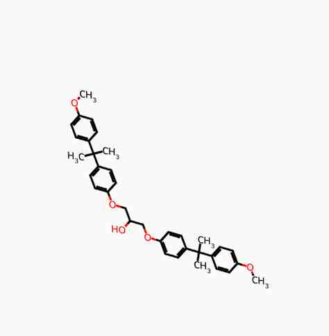 COc1ccc(C(C)(C)c2ccc(OCC(O)COc3ccc(C(C)(C)c4ccc(OC)cc4)cc3)cc2)cc1